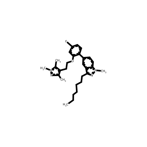 CCCCCCCc1nn(C)c2ccc(-c3ccc(F)cc3OCCc3c(C)nn(C)c3C)cc12